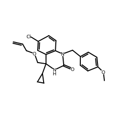 C=CCOCC1(C2CC2)NC(=O)N(Cc2ccc(OC)cc2)c2ccc(Cl)cc21